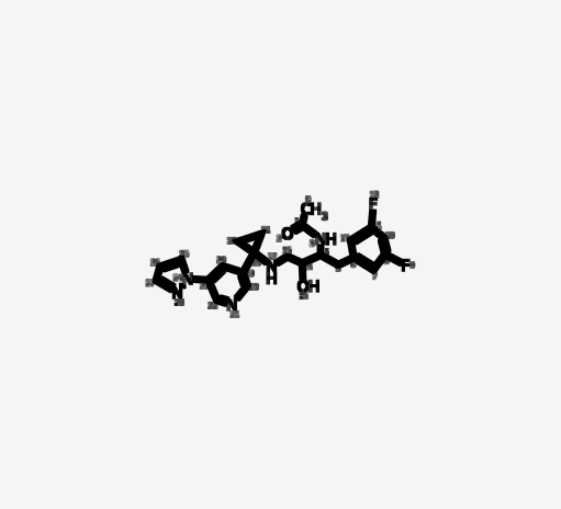 CC(=O)NC(Cc1cc(F)cc(F)c1)C(O)CNC1(c2cncc(-n3cccn3)c2)CC1